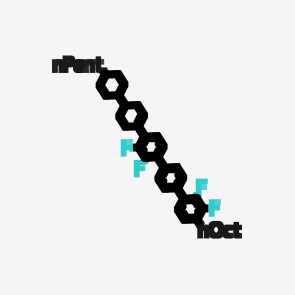 CCCCCCCCc1ccc(-c2ccc(-c3ccc(C4=CCC(C5CCC(CCCCC)CC5)CC4)c(F)c3F)cc2)c(F)c1F